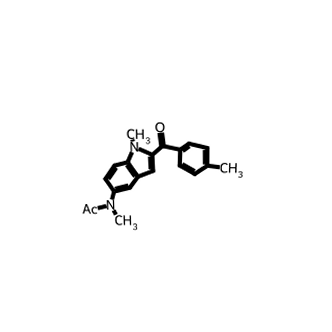 CC(=O)N(C)c1ccc2c(c1)cc(C(=O)c1ccc(C)cc1)n2C